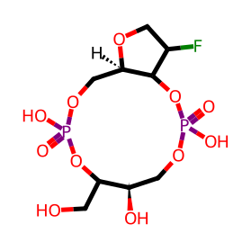 O=P1(O)OC[C@H]2OCC(F)C2OP(=O)(O)OC[C@@H](O)C(CO)O1